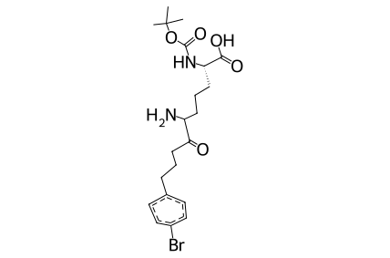 CC(C)(C)OC(=O)N[C@@H](CCCC(N)C(=O)CCCc1ccc(Br)cc1)C(=O)O